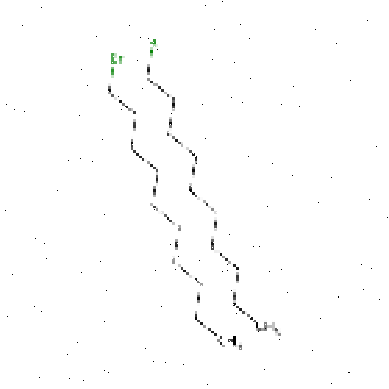 CCCCCCCCCCBr.CCCCCCCCCCBr